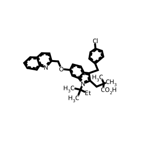 CCC(C)(C)n1c(CC(C)(C)C(=O)O)c(Cc2ccc(Cl)cc2)c2ccc(OCc3ccc4ccccc4n3)cc21